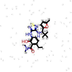 CCc1ccc(Nc2nsnc2N[C@@H](c2ccc(C)o2)C(C)(C)C)c(O)c1C(=O)N(C)C